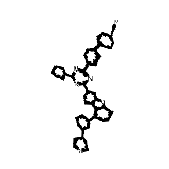 N#Cc1ccc(-c2ccc(-c3nc(-c4ccccc4)nc(-c4ccc5c(c4)oc4cccc(-c6cccc(-c7ccncc7)c6)c45)n3)cc2)cc1